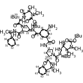 B=C(N[C@H](C(=O)N1C[C@@H](NC(=O)c2cc(N)cc(C(=O)N[C@H]3C[C@@H](C(=O)N[C@H](C)c4ccccc4)N(C(=O)[C@@H](NC(=O)[C@H](C)N(C)C(=O)OC(C)(C)C)[C@@H](C)CC)C3)c2)C[C@H]1C(=O)N[C@H](C)c1ccccc1)[C@@H](C)CC)[C@H](C)N(C)C(=O)OC(C)(C)C